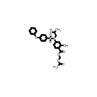 CC(=O)OCOC(=O)c1ccc(N(CC(C)C)S(=O)(=O)c2ccc(Oc3ccccc3)cc2)cc1O